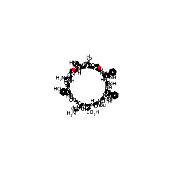 CCCC[C@H]1C(=O)N(C)[C@@H](CCCC)C(=O)N[C@@H](CCC(=O)O)C(=O)NC(C(=O)NCC(N)=O)CSCC(=O)N[C@@H](Cc2ccc(O)cc2)C(=O)N(C)[C@@H](C)C(=O)N[C@@H](CC(N)=O)C(=O)N2CCC[C@H]2C(=O)N[C@@H](Cc2c[nH]cn2)C(=O)N[C@@H](CC(N)=O)C(=O)N2CCC[C@H]2C(=O)N[C@@H](Cc2c[nH]c3ccccc23)C(=O)N[C@@H](CO)C(=O)N[C@@H](Cc2c[nH]c3ccccc23)C(=O)N1C